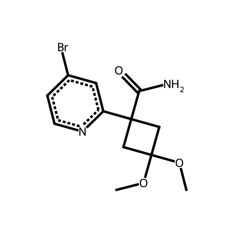 COC1(OC)CC(C(N)=O)(c2cc(Br)ccn2)C1